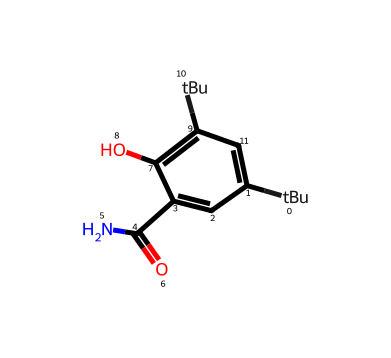 CC(C)(C)c1cc(C(N)=O)c(O)c(C(C)(C)C)c1